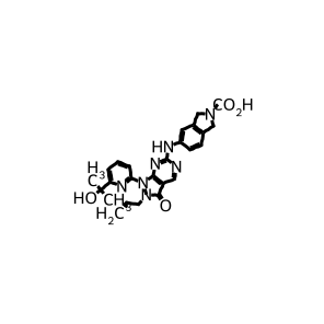 C=CCn1c(=O)c2cnc(Nc3ccc4c(c3)CN(C(=O)O)C4)nc2n1-c1cccc(C(C)(C)O)n1